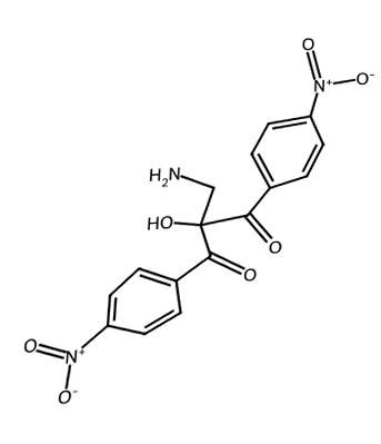 NCC(O)(C(=O)c1ccc([N+](=O)[O-])cc1)C(=O)c1ccc([N+](=O)[O-])cc1